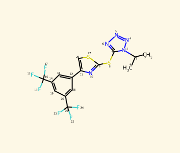 CC(C)n1nnnc1Sc1nc(-c2cc(C(F)(F)F)cc(C(F)(F)F)c2)cs1